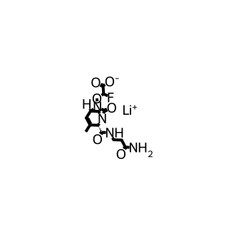 CC1=C[C@H]2CN(C(=O)N2OC(F)C(=O)[O-])[C@@H]1C(=O)NCCC(N)=O.[Li+]